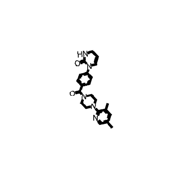 Cc1cnc(N2CCN(C(=O)c3ccc(N4C=CCNC4=O)cc3)CC2)c(C)c1